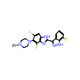 CC(C)N1CCN(c2c(F)cc3[nH]c(-c4n[nH]c5c(F)cccc45)nc3c2F)CC1